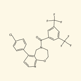 O=C(c1cc(C(F)(F)F)cc(C(F)(F)F)c1)N1CCOc2nccc(-c3ccc(Cl)cc3)c2C1